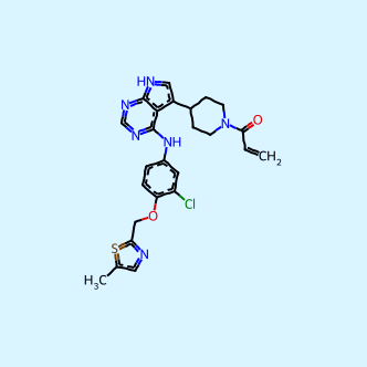 C=CC(=O)N1CCC(c2c[nH]c3ncnc(Nc4ccc(OCc5ncc(C)s5)c(Cl)c4)c23)CC1